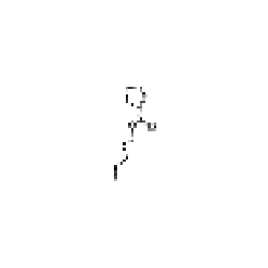 CCCCCOC(=O)C1=CCCC1